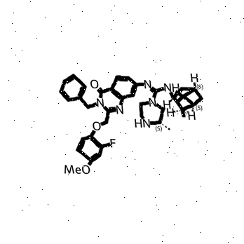 COc1ccc(OCc2nc3cc(N=C(N[C@H]4C[C@@H]5C[C@@H]([C@H]4C)C5(C)C)N4CCN[C@@H](C)C4)ccc3c(=O)n2Cc2ccccc2)c(F)c1